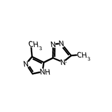 CC1=NN=C(c2[nH]cnc2C)[N]1